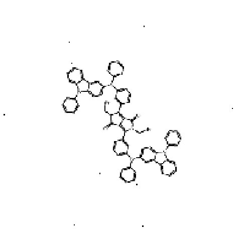 CC(C)CC1C(=O)C2=C(c3cccc(N(c4ccccc4)c4ccc5c(c4)c4ccccc4n5-c4ccccc4)c3)N(CC(C)C)C(=O)C2=C1c1cccc(N(c2ccccc2)c2ccc3c(c2)c2ccccc2n3-c2ccccc2)c1